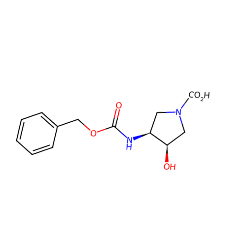 O=C(N[C@H]1CN(C(=O)O)C[C@H]1O)OCc1ccccc1